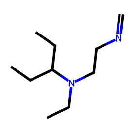 C=NCCN(CC)C(CC)CC